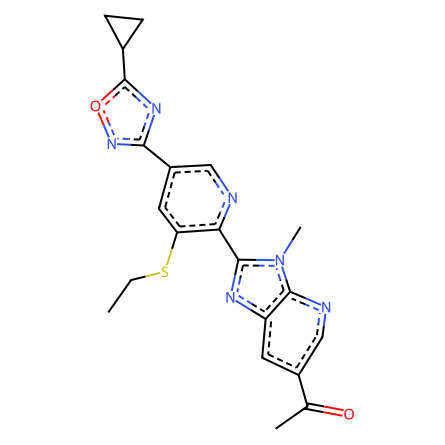 CCSc1cc(-c2noc(C3CC3)n2)cnc1-c1nc2cc(C(C)=O)cnc2n1C